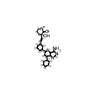 CN1CCC[C@@](O)(C#Cc2cccc(-c3cc(-c4ccccc4)c4ncnc(N)c4n3)c2)C1=O